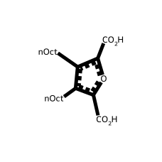 CCCCCCCCc1c(C(=O)O)oc(C(=O)O)c1CCCCCCCC